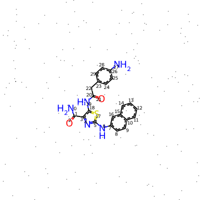 NC(=O)c1nc(Nc2ccc3ccccc3c2)sc1NC(=O)Cc1ccc(N)cc1